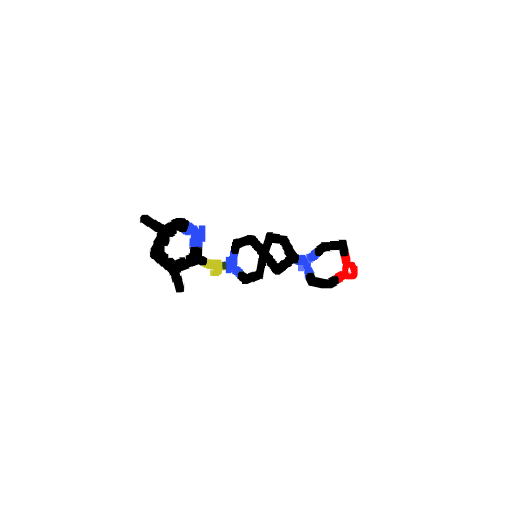 Cc1cnc(SN2CCC3(CCC(N4CCOCC4)C3)CC2)c(C)c1